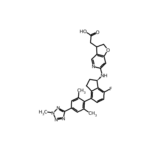 Cc1cc(-c2nnn(C)n2)cc(C)c1-c1ccc(F)c2c1CC[C@H]2Nc1cc2c(cn1)C(CC(=O)O)CO2